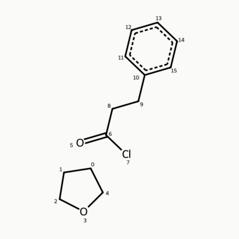 C1CCOC1.O=C(Cl)CCc1ccccc1